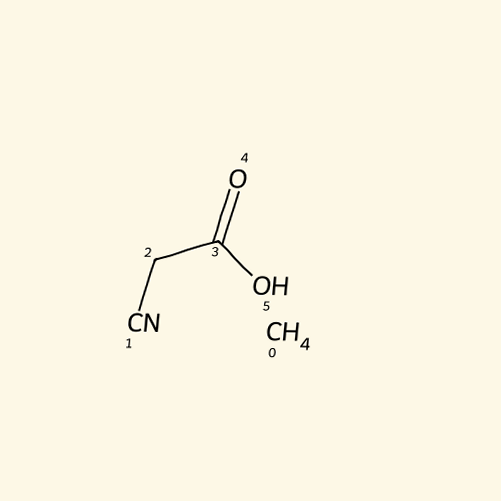 C.N#CCC(=O)O